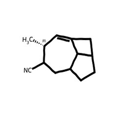 C[C@@H]1C=C2CC3CCC(CC1C#N)C23